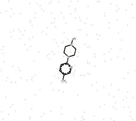 CCCN1CCN(c2ccc(C)cn2)CC1